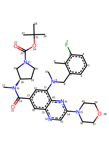 Cc1c(F)cccc1CN(C)c1cc(C(=O)N(C)[C@@H]2CCN(C(=O)OC(C)(C)C)C2)cc2ncc(N3CCOCC3)nc12